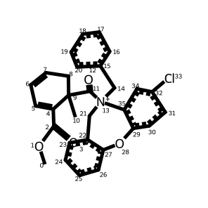 COC(=O)C1=CC=CCC1(C)C(=O)[N+]1(Cc2ccccc2)Cc2ccccc2Oc2ccc(Cl)cc21